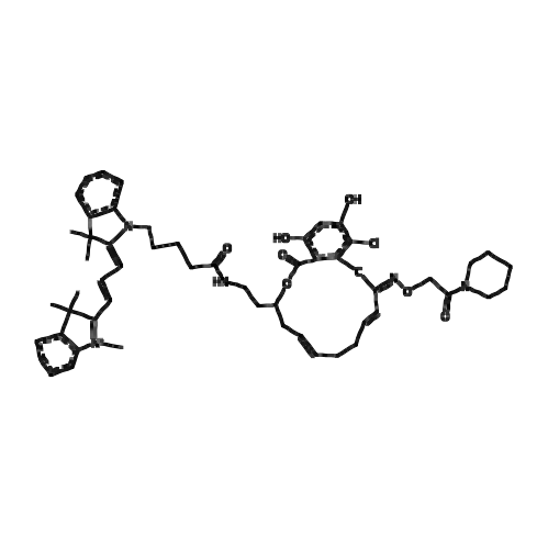 C[N+]1=C(/C=C/C=C2/N(CCCCC(=O)NCCC3C/C=C/CC/C=C/C(=NOCC(=O)N4CCCCC4)Cc4c(Cl)c(O)cc(O)c4C(=O)O3)c3ccccc3C2(C)C)C(C)(C)c2ccccc21